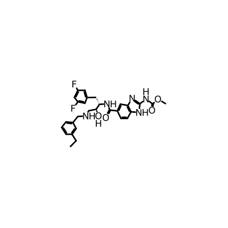 CCc1cccc(CNC[C@H](O)[C@H](Cc2cc(F)cc(F)c2)NC(=O)c2ccc3[nH]c(NC(=O)OC)nc3c2)c1